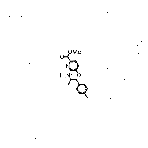 COC(=O)c1ccc(O[C@H](c2ccc(C)cc2)C(C)N)cn1